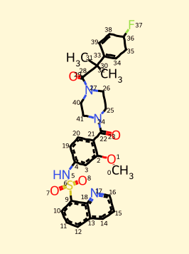 COc1cc(NS(=O)(=O)c2cccc3cccnc23)ccc1C(=O)N1CCN(C(=O)C(C)(C)C2=CCC(F)C=C2)CC1